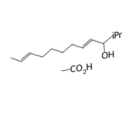 CC(=O)O.CC=CCCCCC=CC(O)C(C)C